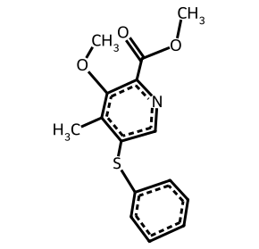 COC(=O)c1ncc(Sc2ccccc2)c(C)c1OC